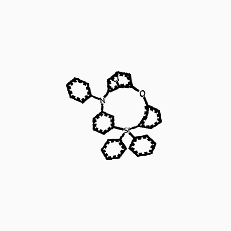 Clc1c2cccc1N(c1ccccc1)c1cccc(c1)[Si](c1ccccc1)(c1ccccc1)c1cccc(c1)O2